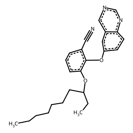 CCCCCCCC(CC)Oc1cccc(C#N)c1Oc1ccc2ncncc2c1